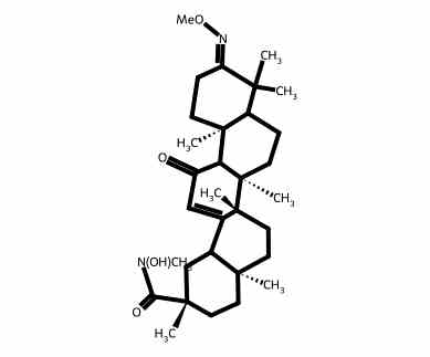 CO/N=C1\CC[C@@]2(C)C(CC[C@]3(C)C2C(=O)C=C2C4C[C@@](C)(C(=O)N(C)O)CC[C@]4(C)CC[C@]23C)C1(C)C